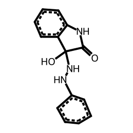 O=C1Nc2ccccc2C1(O)NNc1ccccc1